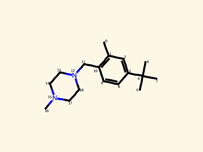 Cc1cc(C(C)(C)C)ccc1CN1CCN(C)CC1